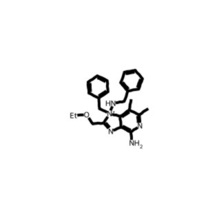 CCOCC1=Nc2c(N)nc(C)c(C)c2[N+]1(Cc1ccccc1)NCc1ccccc1